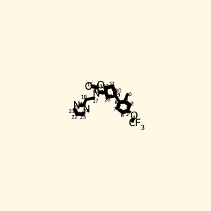 Cc1cc(OC(F)(F)F)ccc1-c1ccc2oc(=O)n(CCc3ncccn3)c2c1